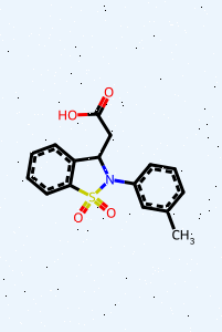 Cc1cccc(N2C(CC(=O)O)c3ccccc3S2(=O)=O)c1